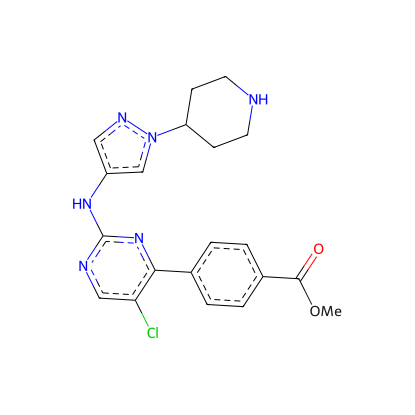 COC(=O)c1ccc(-c2nc(Nc3cnn(C4CCNCC4)c3)ncc2Cl)cc1